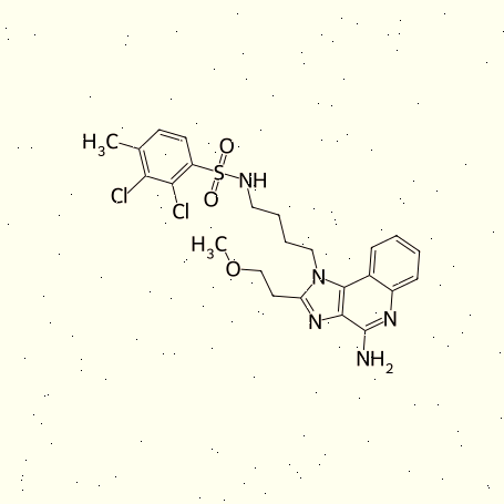 COCCc1nc2c(N)nc3ccccc3c2n1CCCCNS(=O)(=O)c1ccc(C)c(Cl)c1Cl